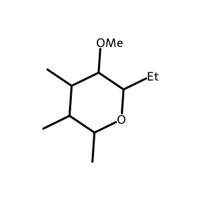 CCC1OC(C)C(C)C(C)C1OC